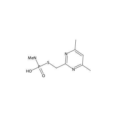 CNP(=O)(O)SCc1nc(C)cc(C)n1